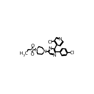 CCS(=O)(=O)N1CCN(c2cnc(-c3ccc(Cl)cc3)c(-c3ccncc3Cl)n2)CC1